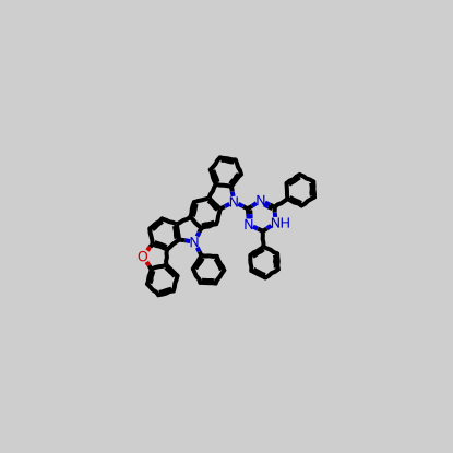 c1ccc(C2=NC(n3c4ccccc4c4cc5c6ccc7oc8ccccc8c7c6n(-c6ccccc6)c5cc43)=NC(c3ccccc3)N2)cc1